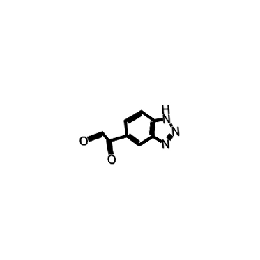 O=CC(=O)c1ccc2[nH]nnc2c1